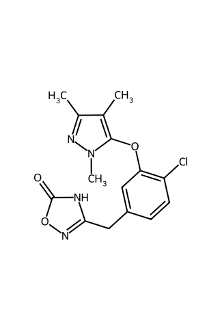 Cc1nn(C)c(Oc2cc(Cc3noc(=O)[nH]3)ccc2Cl)c1C